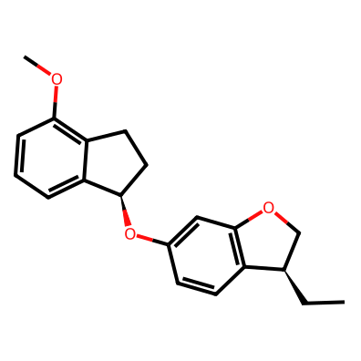 CC[C@@H]1COc2cc(O[C@@H]3CCc4c(OC)cccc43)ccc21